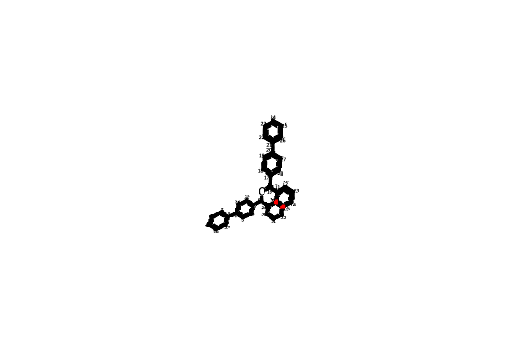 c1ccc(-c2ccc(C(OC(c3ccccc3)c3ccc(-c4ccccc4)cc3)c3ccccc3)cc2)cc1